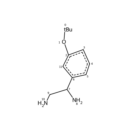 CC(C)(C)Oc1cccc(C(N)CN)c1